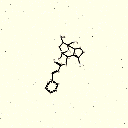 CC(=O)OC1CC2(C(C)C)OC1(C)C1CCC(C)=C1C2OC(=O)/C=C/c1ccccc1